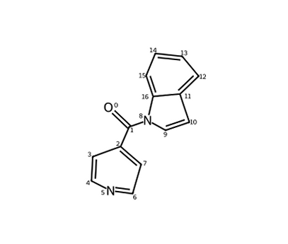 O=C(c1ccncc1)n1ccc2ccccc21